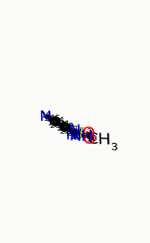 COC(=O)CSc1nc(-c2ccc(-c3ccc(C#N)cc3)cc2)n[nH]1